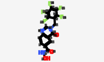 O=C(NO)c1ccc2ncn(Cc3c(F)c(F)c(F)c(F)c3F)c(=O)c2c1